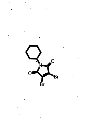 O=C1C(Br)=C(Br)C(=O)N1C1CCCCC1